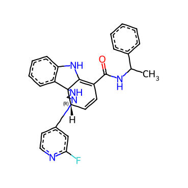 CC(NC(=O)C1=C2Nc3ccccc3C23NCN(c2ccnc(F)c2)[C@@H]3C=C1)c1ccccc1